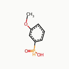 COc1cccc([PH](=O)O)c1